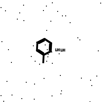 Cc1ccccc1.[LiH].[LiH]